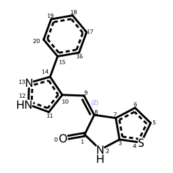 O=C1Nc2sccc2/C1=C/c1c[nH]nc1-c1ccccc1